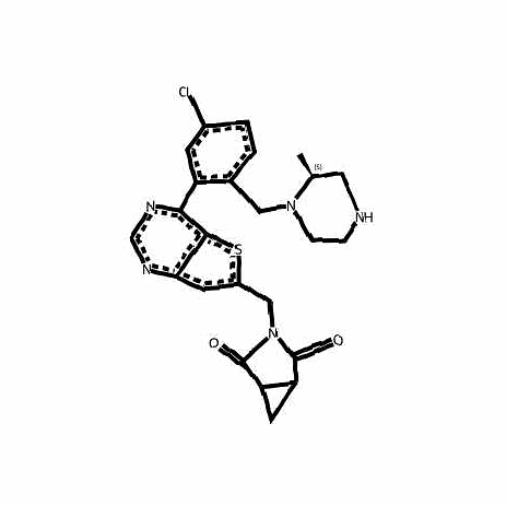 C[C@H]1CNCCN1Cc1ccc(Cl)cc1-c1ncnc2cc(CN3C(=O)C4CC4C3=O)sc12